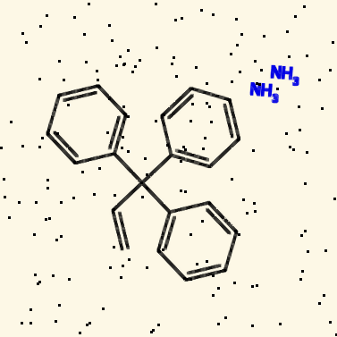 C=CC(c1ccccc1)(c1ccccc1)c1ccccc1.N.N